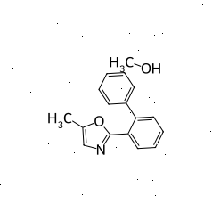 CO.Cc1cnc(-c2ccccc2-c2ccccc2)o1